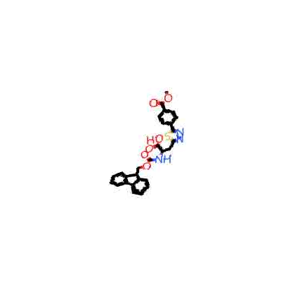 COC(=O)c1ccc(-c2nnc(CC(NC(=O)OCC3c4ccccc4-c4ccccc43)C(=O)O)s2)cc1